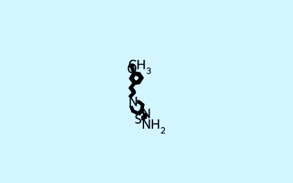 COc1cccc(/C=C/CN2CCc3nc(N)sc3CC2)c1